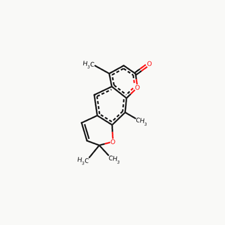 Cc1cc(=O)oc2c(C)c3c(cc12)C=CC(C)(C)O3